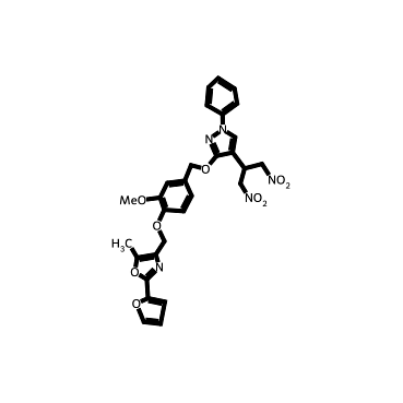 COc1cc(COc2nn(-c3ccccc3)cc2C(C[N+](=O)[O-])C[N+](=O)[O-])ccc1OCc1nc(-c2ccco2)oc1C